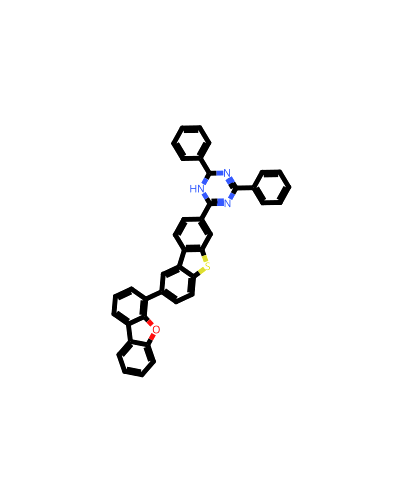 c1ccc(C2=NC(c3ccccc3)NC(c3ccc4c(c3)sc3ccc(-c5cccc6c5oc5ccccc56)cc34)=N2)cc1